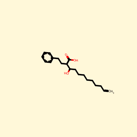 C=CCCCCCCCC(O)C(CCc1ccccc1)C(=O)O